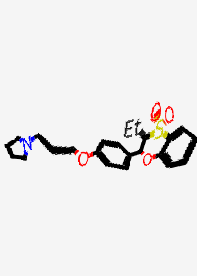 CCC1C(c2ccc(OCCCN3CCCC3)cc2)Oc2ccccc2S1(=O)=O